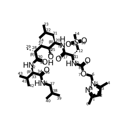 Cc1cc(C)n(COC(=O)N[C@@H](CS(C)(=O)=O)C(=O)N[C@H](CC(C)C)[C@@H](O)C[C@@H](C)C(=O)N[C@@H](C(=O)NCC(C)C)C(C)C)n1